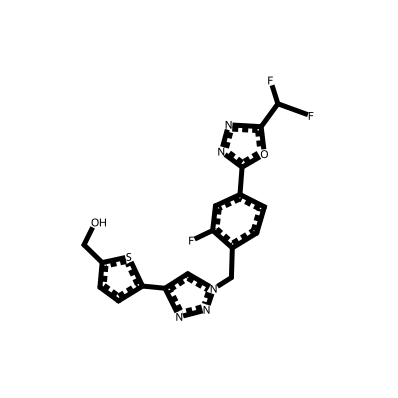 OCc1ccc(-c2cn(Cc3ccc(-c4nnc(C(F)F)o4)cc3F)nn2)s1